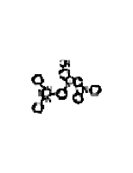 N#Cc1ccc2c(c1)c1ccc3c(c4ccccc4n3-c3ccccc3)c1n2-c1cccc(-c2nc(-c3ccccc3)nc(-c3ccccc3)n2)c1